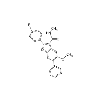 CNC(=O)c1c(-c2ccc(F)cc2)oc2cc(-c3cccnc3)c(OC)cc12